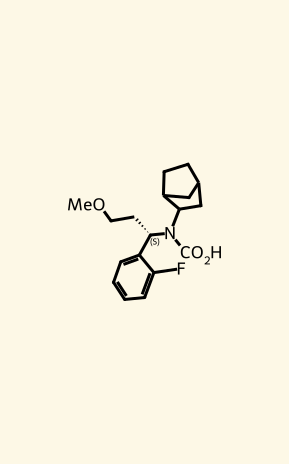 COCC[C@@H](c1ccccc1F)N(C(=O)O)C1CC2CCC1C2